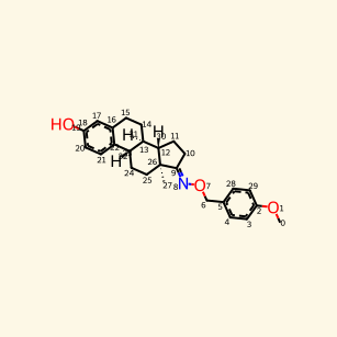 COc1ccc(CO/N=C2\CC[C@H]3[C@@H]4CCc5cc(O)ccc5[C@H]4CC[C@]23C)cc1